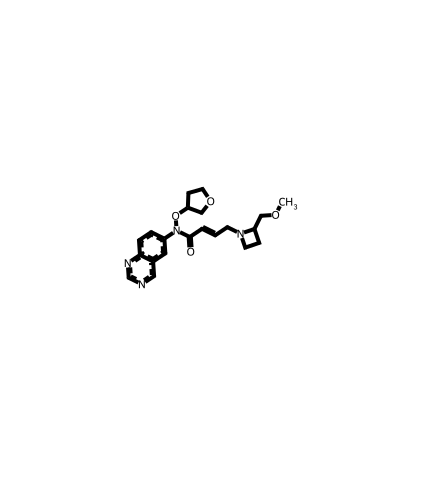 COCC1CCN1CC=CC(=O)N(OC1CCOC1)c1ccc2ncncc2c1